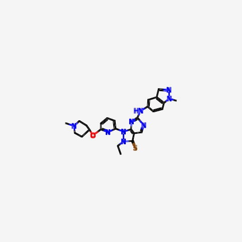 CCn1c(=S)c2cnc(Nc3ccc4c(cnn4C)c3)nc2n1-c1cccc(OC2CCN(C)CC2)n1